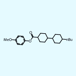 CCCCC1CCC(C2CCC(C(=O)Oc3ccc(OC)cc3)CC2)CC1